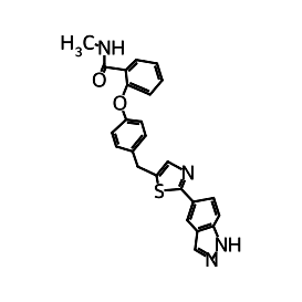 CNC(=O)c1ccccc1Oc1ccc(Cc2cnc(-c3ccc4[nH]ncc4c3)s2)cc1